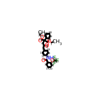 CCOC(=O)C(CC(=O)Cc1ccc(NC(=O)c2ccccc2OC(F)(F)F)cc1)(C(=O)OCC)c1ccccc1